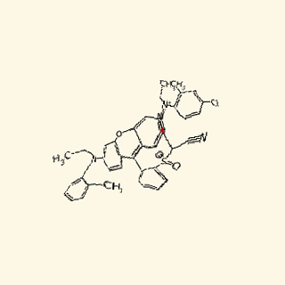 CCN(c1ccc2c(-c3ccccc3S(=O)(=O)C(C#N)C#N)c3cc/c(=[N+](/CC)c4ccc(Cl)cc4C)cc-3oc2c1)c1ccccc1C